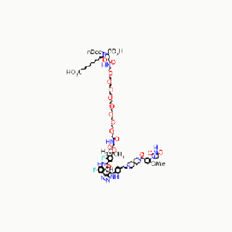 CCCCCCCCCCCN(C(=O)CCCCCCCCCC(=O)O)C(CCC(=O)NCCOCCOCCOCCOCCOCCOCCOCCOCCC(=O)NCC(=O)OC(C)(C)c1ccc(C(=O)Nc2cc(F)cc(-c3ncnc4[nH]c(-c5ccc(CCN6CCC7(CC6)CCN(C(=O)c6ccc(OC)c(N8CCC(=O)NC8=O)c6)CC7)cc5)cc34)c2C)c(F)c1)C(=O)O